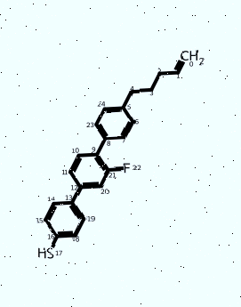 C=CCCCc1ccc(-c2ccc(-c3ccc(S)cc3)cc2F)cc1